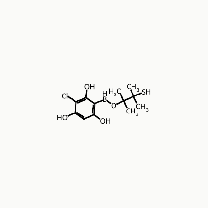 CC(C)(S)C(C)(C)OBc1c(O)cc(O)c(Cl)c1O